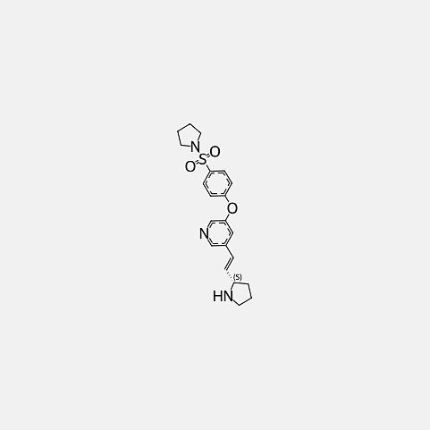 O=S(=O)(c1ccc(Oc2cncc(C=C[C@@H]3CCCN3)c2)cc1)N1CCCC1